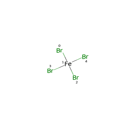 [Br][Fe]([Br])([Br])[Br]